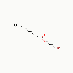 CCCCCCCCCC(=O)OCCCCBr